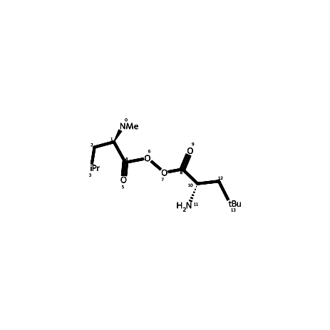 CN[C@H](CC(C)C)C(=O)OOC(=O)[C@@H](N)CC(C)(C)C